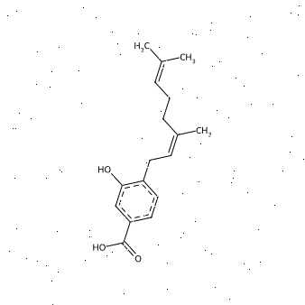 CC(C)=CCCC(C)=CCc1ccc(C(=O)O)cc1O